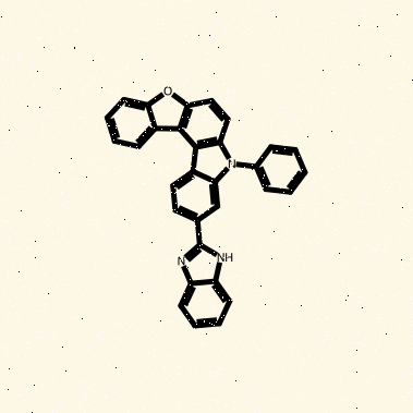 c1ccc(-n2c3cc(-c4nc5ccccc5[nH]4)ccc3c3c4c(ccc32)oc2ccccc24)cc1